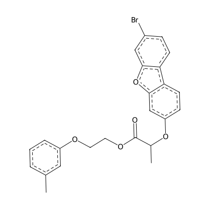 Cc1cccc(OCCOC(=O)C(C)Oc2ccc3c(c2)oc2cc(Br)ccc23)c1